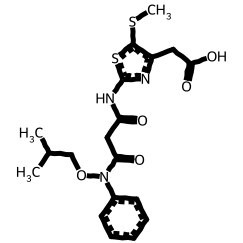 CSc1sc(NC(=O)CC(=O)N(OCC(C)C)c2ccccc2)nc1CC(=O)O